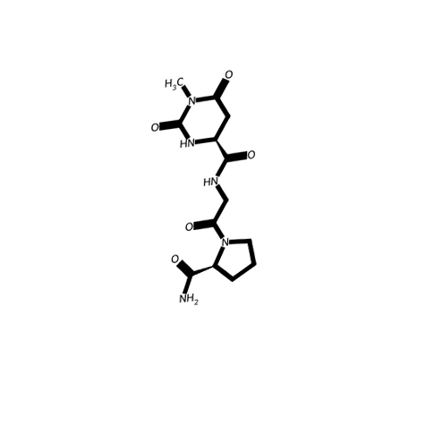 CN1C(=O)C[C@@H](C(=O)NCC(=O)N2CCC[C@H]2C(N)=O)NC1=O